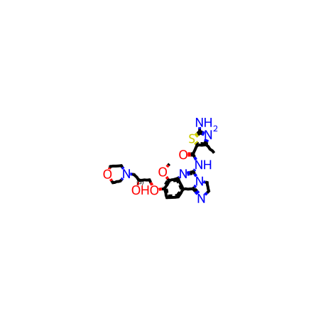 COc1c(OC[C@@H](O)CN2CCOCC2)ccc2c1N=C(NC(=O)c1sc(N)nc1C)N1CCN=C21